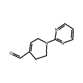 O=CC1=CCN(c2ncccn2)CC1